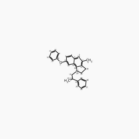 Cc1nc2ccc(Oc3ccccc3)cc2c2c1CCN2CC(C)c1ccccc1